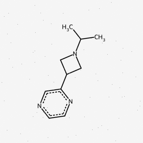 CC(C)N1CC(c2cnccn2)C1